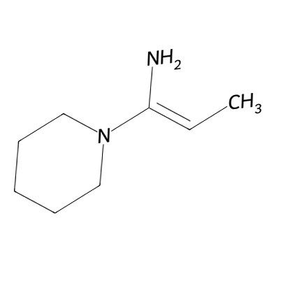 CC=C(N)N1CCCCC1